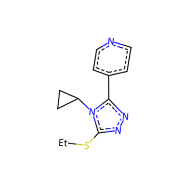 CCSc1nnc(-c2ccncc2)n1C1CC1